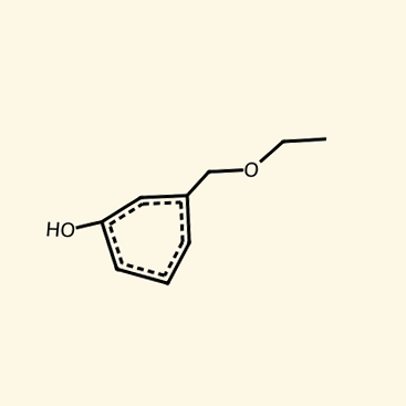 CCOCc1cccc(O)c1